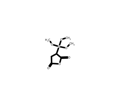 CO[Si](OC)(OC)C1CC(=O)OC1=O